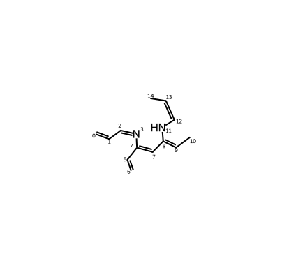 C=C\C=N/C(C=C)=C\C(=C\C)N/C=C\C